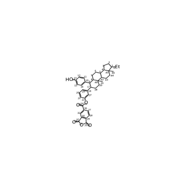 CCC1CCC2C3CCC4C(c5ccc(O)cc5)C(c5cccc(OC(=O)c6ccc7c(c6)C(=O)OC7=O)c5)CCC4(C)C3CCC12C